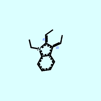 C/C=c1\c(=C/C)n(CC)c2ccccc12